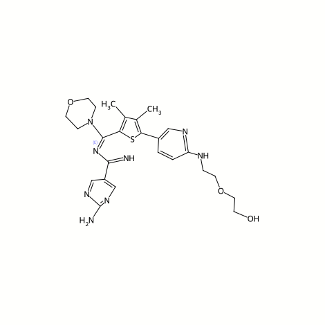 Cc1c(/C(=N\C(=N)c2cnc(N)nc2)N2CCOCC2)sc(-c2ccc(NCCOCCO)nc2)c1C